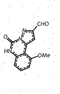 COc1cccc2[nH]c(=O)n3nc(C=O)cc3c12